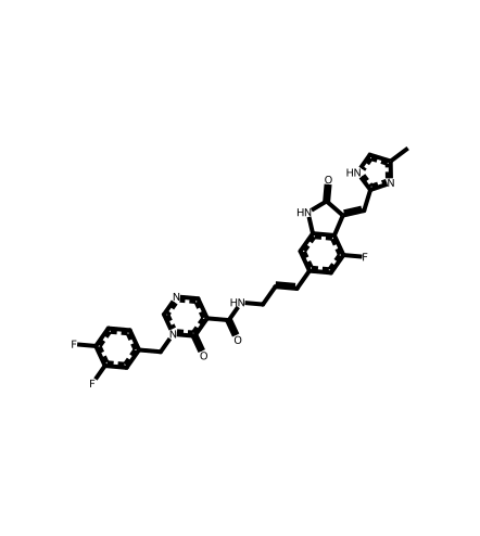 Cc1c[nH]c(C=C2C(=O)Nc3cc(C=CCNC(=O)c4cncn(Cc5ccc(F)c(F)c5)c4=O)cc(F)c32)n1